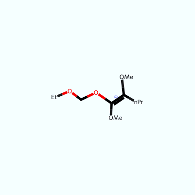 CCC/C(OC)=C(\OC)OCOCC